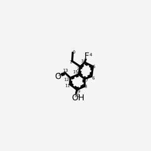 CCc1c(F)ccc2cc(O)cc(C=O)c12